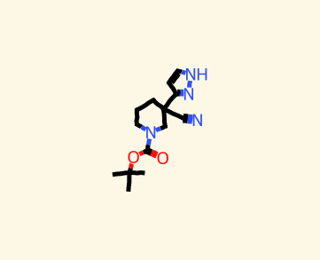 CC(C)(C)OC(=O)N1CCCC(C#N)(c2cc[nH]n2)C1